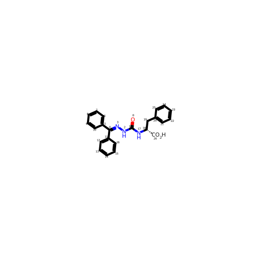 O=C(NN=C(c1ccccc1)c1ccccc1)N[C@H](Cc1ccccc1)C(=O)O